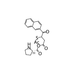 CC(=O)SC(CC(=O)OC(=O)[C@@H]1CCCN1)C(=O)c1ccc2ccccc2c1